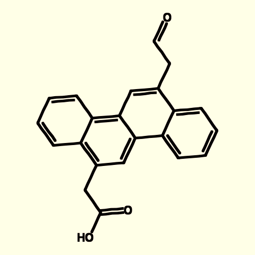 O=CCc1cc2c3ccccc3c(CC(=O)O)cc2c2ccccc12